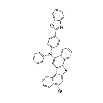 Brc1cc2sc3c4ccccc4c(N(c4ccccc4)c4ccc(-c5nc6ccccc6o5)cc4)cc3c2c2ccccc12